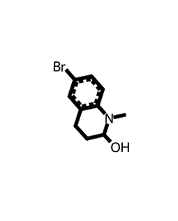 CN1c2ccc(Br)cc2CCC1O